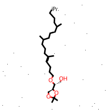 C/C(=C\CCCO[C@H](CO)[C@@H]1COC(C)(C)O1)CCCC(C)CCCC(C)CCCC(C)C